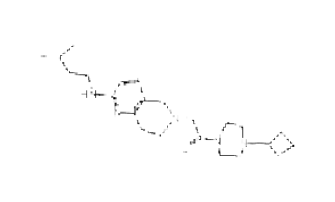 CC(C)CCNc1ccc2c(n1)CCN(CC(=O)N1CCN(C3CCC3)CC1)C2